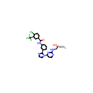 C[C@H](O)CNc1nccc(-n2ccnc2-c2cccc(NC(=O)c3ccc(Cl)c(C(F)(F)F)c3)c2)n1